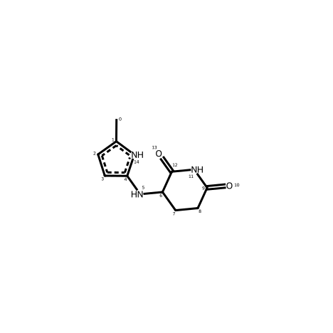 Cc1ccc(NC2CCC(=O)NC2=O)[nH]1